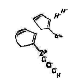 [Cl-].[Cl-].[Cl-].[H-].[H-].[H-].[Zr+3][C]1=CC=CC1.[Zr+3][C]1=CC=CC1